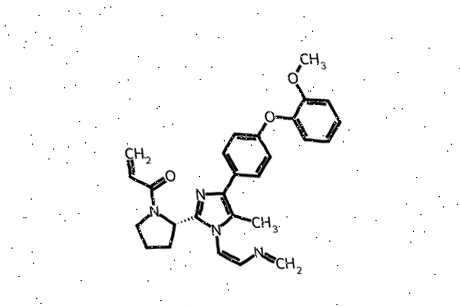 C=CC(=O)N1CCC[C@H]1c1nc(-c2ccc(Oc3ccccc3OC)cc2)c(C)n1/C=C\N=C